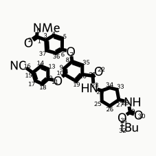 CNC(=O)c1ccc(Oc2cc(Oc3ccc(C#N)cc3)cc(C(=O)NC3CCC(NC(=O)OC(C)(C)C)CC3)c2)cc1